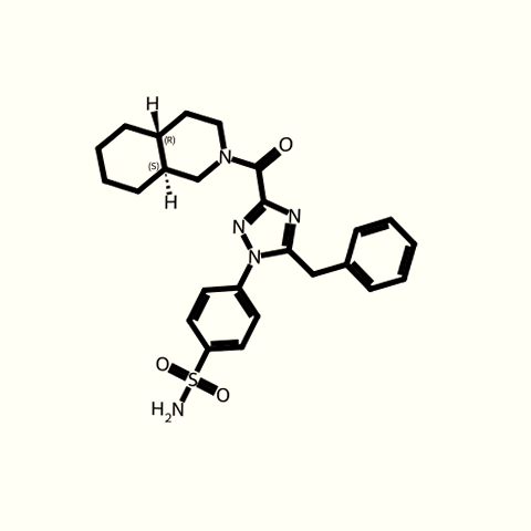 NS(=O)(=O)c1ccc(-n2nc(C(=O)N3CC[C@H]4CCCC[C@@H]4C3)nc2Cc2ccccc2)cc1